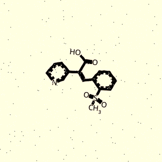 CS(=O)(=O)c1ccccc1C=C(C(=O)O)c1cccnc1